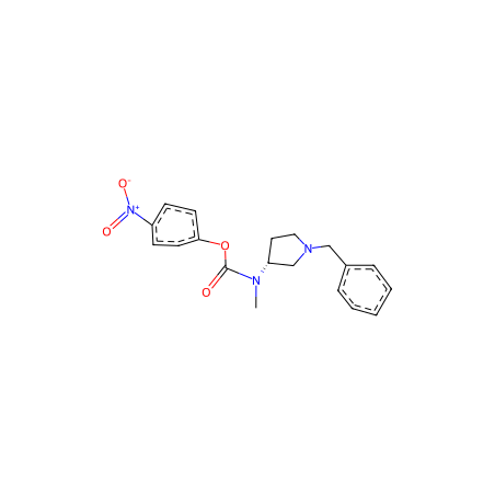 CN(C(=O)Oc1ccc([N+](=O)[O-])cc1)[C@@H]1CCN(Cc2ccccc2)C1